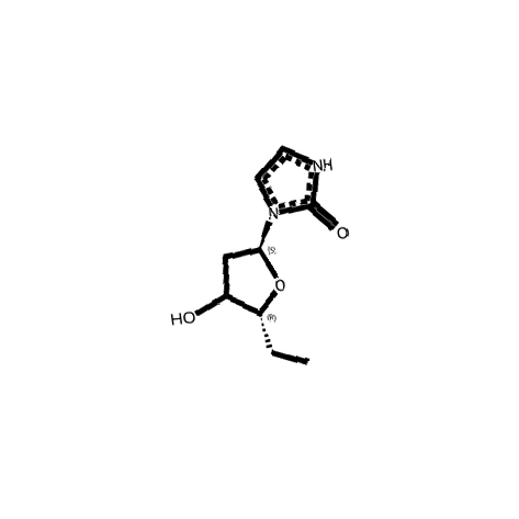 CC[C@H]1O[C@H](n2cc[nH]c2=O)CC1O